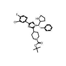 CC(C)(C)OC(=O)N1CCC(c2nc(-c3ccc(F)c(Cl)c3)cn2[C@@H](Cc2ccccc2)C2CCCN2)CC1